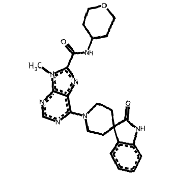 Cn1c(C(=O)NC2CCOCC2)nc2c(N3CCC4(CC3)C(=O)Nc3ccccc34)ncnc21